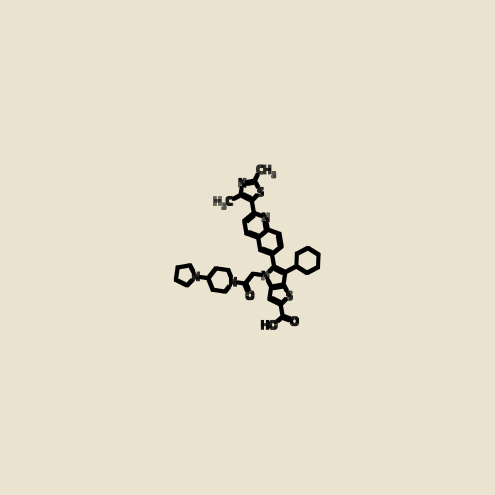 Cc1nc(C)c(-c2ccc3cc(-c4c(C5CCCCC5)c5sc(C(=O)O)cc5n4CC(=O)N4CCC(N5CCCC5)CC4)ccc3n2)s1